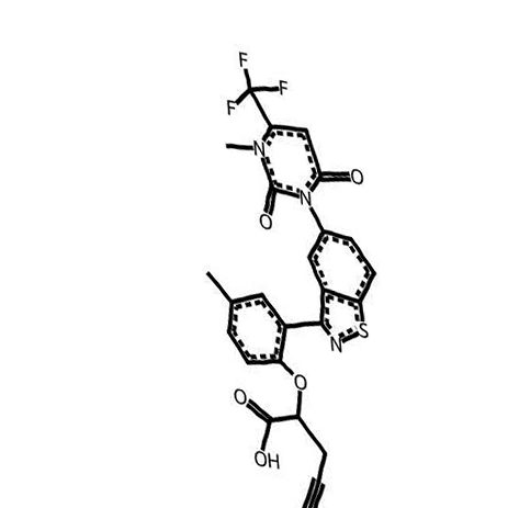 C#CCC(Oc1ccc(C)cc1-c1nsc2ccc(-n3c(=O)cc(C(F)(F)F)n(C)c3=O)cc12)C(=O)O